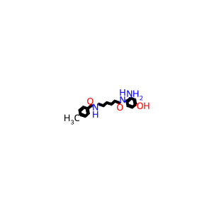 Cc1ccc(C(=O)NCCCCCC(=O)Nc2ccc(O)cc2N)cc1